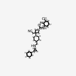 N#CCC1(N2CCC(CN[C@@H]3C[C@H]3c3ccccc3)CC2)CN(C(=O)Nc2cccc(Cl)c2F)C1